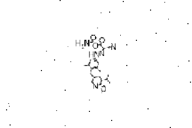 COc1ncc(Cc2c(C)cc(NN=C(C#N)C(=O)OC(N)=O)cc2C)cc1C(C)C